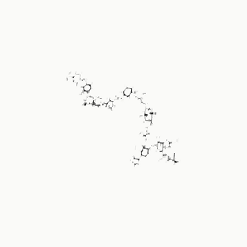 Cc1ncsc1-c1ccc(CNC(=O)[C@@H]2C[C@@H](O)CN2C(=O)[C@@H](NC(=O)C2(F)CC2)C(C)(C)C)c(OCC(=O)NCCN2C[C@@H]3CN(CCC(=O)NCc4cccc(CNc5cc(N6CCC7(CC6)CN(c6cc(F)c(CN8CCC(C)(C)CC8)cc6F)CC(=O)N7)ncn5)c4)C[C@@H]3C2)c1